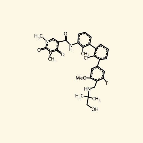 COc1cc(-c2cccc(-c3cccc(NC(=O)c4cn(C)c(=O)n(C)c4=O)c3C)c2Cl)cc(F)c1CNC(C)(C)CO